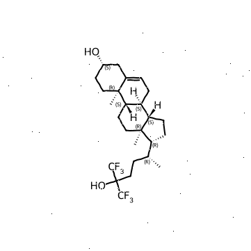 C[C@H](CCC(O)(C(F)(F)F)C(F)(F)F)[C@H]1CC[C@H]2[C@@H]3CC=C4C[C@@H](O)CC[C@]4(C)[C@H]3CC[C@]12C